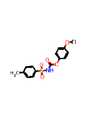 CCOc1ccc(OC(=O)NS(=O)(=O)c2ccc(C)cc2)cc1